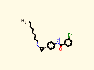 CCCCCCCCN[C@@H]1C[C@H]1c1ccc(NC(=O)c2cccc(Br)c2)cc1